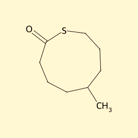 CC1CCCSC(=O)CCC1